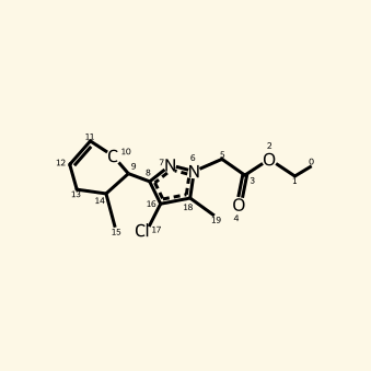 CCOC(=O)Cn1nc(C2CC=CCC2C)c(Cl)c1C